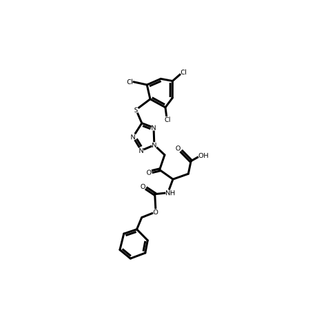 O=C(O)CC(NC(=O)OCc1ccccc1)C(=O)Cn1nnc(Sc2c(Cl)cc(Cl)cc2Cl)n1